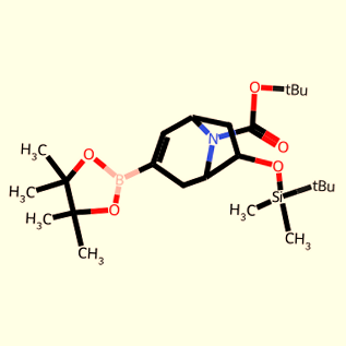 CC(C)(C)OC(=O)N1C2C=C(B3OC(C)(C)C(C)(C)O3)CC1C(O[Si](C)(C)C(C)(C)C)C2